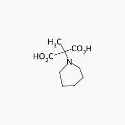 CC(C(=O)O)(C(=O)O)N1CCCCC1